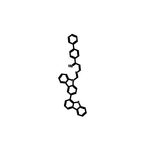 N=C(/C=C\N=C\n1c2ccccc2c2cc(-c3cccc4c3sc3ccccc34)ccc21)c1ccc(-c2ccccc2)cc1